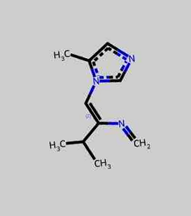 C=N/C(=C\n1cncc1C)C(C)C